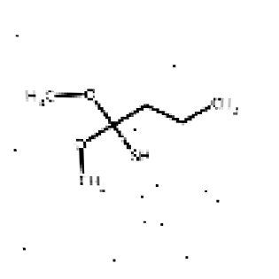 [CH2]CCC(S)(OC)OC